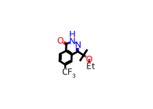 CCOC(C)(C)c1n[nH]c(=O)c2ccc(C(F)(F)F)cc12